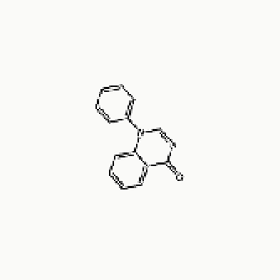 O=c1ncn(-c2ccccc2)c2ccccc12